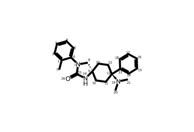 Cc1ccccc1N1C[C@]2(CC[C@](c3ccccc3)(N(C)C)CC2)NC1=O